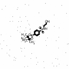 CC1(C)OB(c2ccc(S(=O)(=O)NCCO)cc2)OC1(C)C